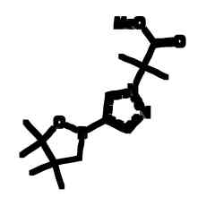 COC(=O)C(C)(C)n1cc(B2CC(C)(C)C(C)(C)O2)cn1